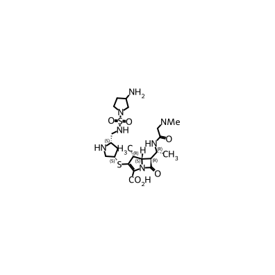 CNCC(=O)N[C@H](C)[C@H]1C(=O)N2C(C(=O)O)=C(S[C@@H]3CN[C@H](CNS(=O)(=O)N4CCC(N)C4)C3)[C@H](C)[C@H]12